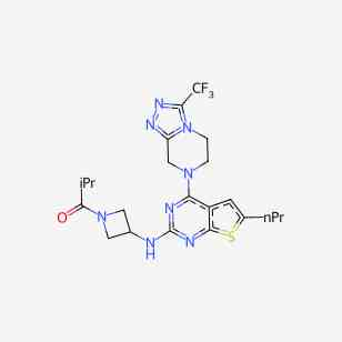 CCCc1cc2c(N3CCn4c(nnc4C(F)(F)F)C3)nc(NC3CN(C(=O)C(C)C)C3)nc2s1